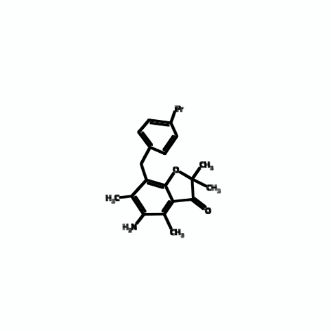 Cc1c(N)c(C)c2c(c1Cc1ccc(C(C)C)cc1)OC(C)(C)C2=O